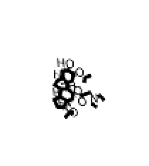 CCN(CC)CC(=O)O[C@H]1C[C@]2(C)[C@@H](C(C)=O)CC[C@H]2[C@@H]2CC[C@H]3C[C@H](O)[C@@H](OC(C)C)C[C@]3(C)[C@H]21